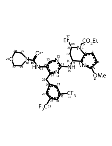 CCOC(=O)N1c2ccc(OC)nc2[C@@H](Nc2ncc(NC(=O)N3CCOCC3)c(Cc3cc(C(F)(F)F)cc(C(F)(F)F)c3)n2)C[C@H]1CC